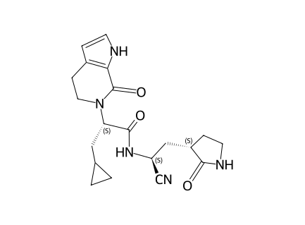 N#C[C@H](C[C@@H]1CCNC1=O)NC(=O)[C@H](CC1CC1)N1CCc2cc[nH]c2C1=O